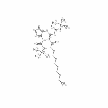 CCCCCCCCCCC(=O)ON(CC(=O)OC(C)(C)C)Cc1nccn1CC(=O)OC(C)(C)C